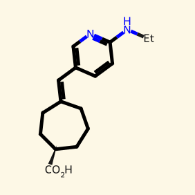 CCNc1ccc(/C=C2\CCC[C@@H](C(=O)O)CC2)cn1